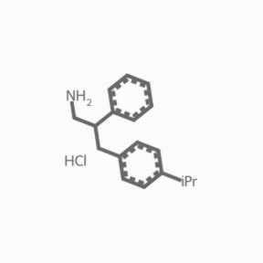 CC(C)c1ccc(CC(CN)c2ccccc2)cc1.Cl